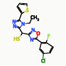 CCn1c(-c2cccs2)nnc1C(S)c1noc(-c2cc(Cl)ccc2F)n1